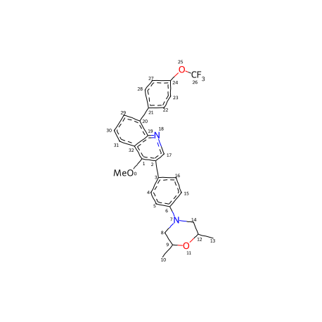 COc1c(-c2ccc(N3CC(C)OC(C)C3)cc2)cnc2c(-c3ccc(OC(F)(F)F)cc3)cccc12